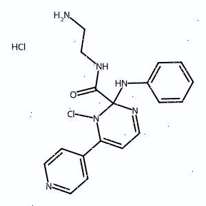 Cl.NCCNC(=O)C1(Nc2ccccc2)N=CC=C(c2ccncc2)N1Cl